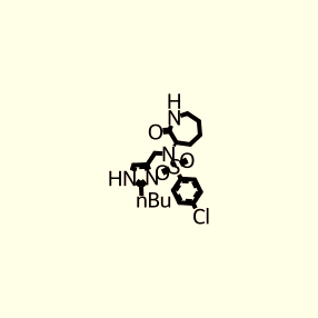 CCCCc1nc(CN([C@@H]2CCCCNC2=O)S(=O)(=O)c2ccc(Cl)cc2)c[nH]1